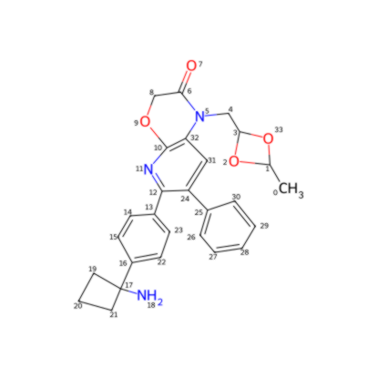 CC1OC(CN2C(=O)COc3nc(-c4ccc(C5(N)CCC5)cc4)c(-c4ccccc4)cc32)O1